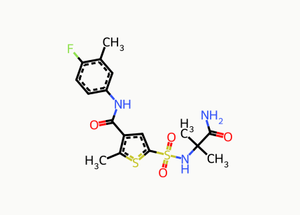 Cc1cc(NC(=O)c2cc(S(=O)(=O)NC(C)(C)C(N)=O)sc2C)ccc1F